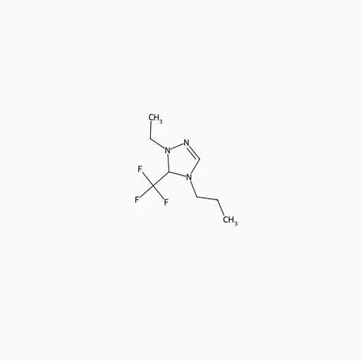 CCCN1C=NN(CC)C1C(F)(F)F